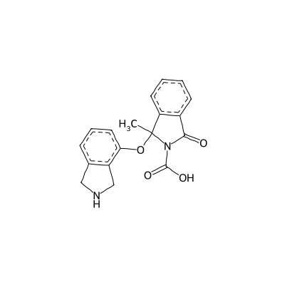 CC1(Oc2cccc3c2CNC3)c2ccccc2C(=O)N1C(=O)O